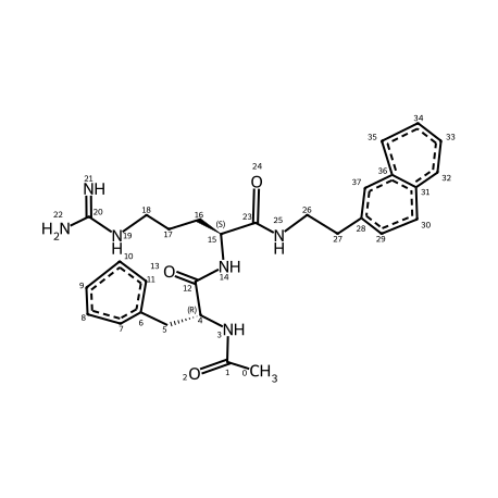 CC(=O)N[C@H](Cc1ccccc1)C(=O)N[C@@H](CCCNC(=N)N)C(=O)NCCc1ccc2ccccc2c1